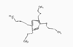 CCCCc1cc(CCC)c(CCCC)cc1CCC